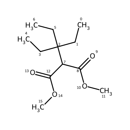 CCC(CC)(CC)C(C(=O)OC)C(=O)OC